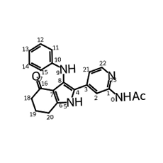 CC(=O)Nc1cc(-c2[nH]c3c(c2Nc2ccccc2)C(=O)CCC3)ccn1